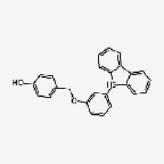 Oc1ccc(COc2cccc([SH]3c4ccccc4-c4ccccc43)c2)cc1